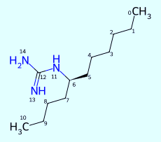 CCCCCC[C@@H](CCCC)NC(=N)N